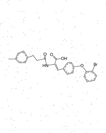 Cc1ccc(CCC(=O)NC(=Cc2ccc(Oc3ccccc3Br)cc2)C(=O)O)cc1